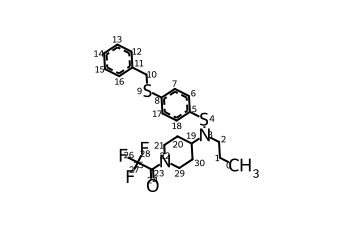 CCCN(Sc1ccc(SCc2ccccc2)cc1)C1CCN(C(=O)C(F)(F)F)CC1